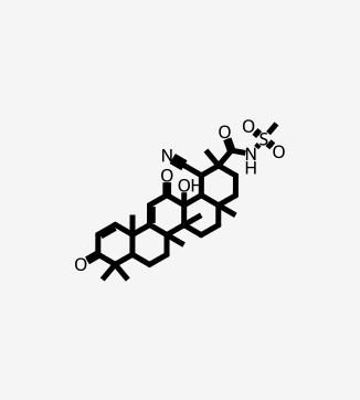 CC12CCC(C)(C(=O)NS(C)(=O)=O)C(C#N)C1C1(O)C(=O)C=C3C4(C)C=CC(=O)C(C)(C)C4CCC3(C)C1(C)CC2